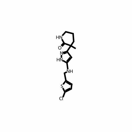 CC1(c2cc(NCc3ccc(Cl)s3)[nH]n2)CCCNC1=O